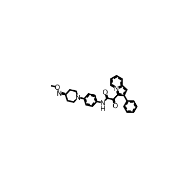 CON=C1CCN(c2ccc(NC(=O)C(=O)c3c(-c4ccccc4)cc4ccccn34)cc2)CC1